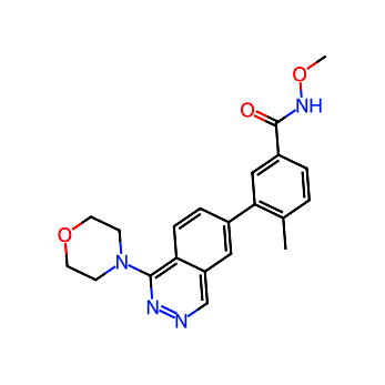 CONC(=O)c1ccc(C)c(-c2ccc3c(N4CCOCC4)nncc3c2)c1